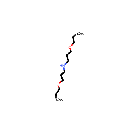 CCCCCCCCCCCCOCCCNCCCOCCCCCCCCCCCC